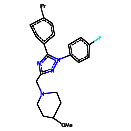 COC1CCN(Cc2nc(-c3ccc(C(C)C)cc3)n(-c3ccc(F)cc3)n2)CC1